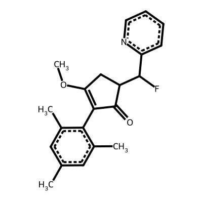 COC1=C(c2c(C)cc(C)cc2C)C(=O)C(C(F)c2ccccn2)C1